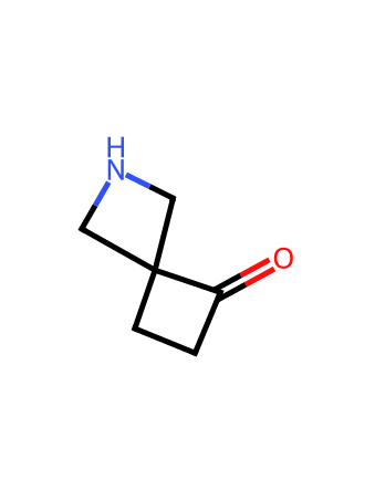 O=C1CCC12CNC2